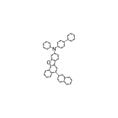 c1ccc(-c2ccc(N(c3ccccc3)c3ccc4c(c3)oc3c5ccccc5c(-c5ccc6ccccc6c5)cc43)cc2)cc1